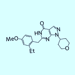 CCc1cc(OC)ccc1Cc1nc2c(cnn2C2CCOCC2)c(=O)[nH]1